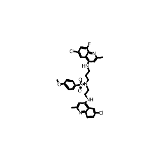 COc1ccc(S(=O)(=O)N(CCCNc2cc(C)nc3c(F)cc(Cl)cc23)CCNc2cc(C)nc3ccc(Cl)cc23)cc1